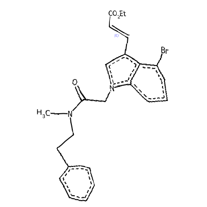 CCOC(=O)/C=C/c1cn(CC(=O)N(C)CCc2ccccc2)c2cccc(Br)c12